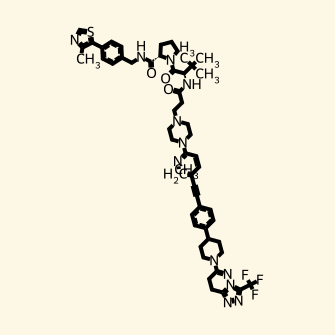 C=C(C#Cc1ccc(C2CCN(C3=Nn4c(nnc4C(F)(F)F)CC3)CC2)cc1)/C=C\C(=N/C)N1CCN(CCC(=O)N[C@H](C(=O)N2CCC[C@H]2C(=O)NCc2ccc(-c3scnc3C)cc2)C(C)(C)C)CC1